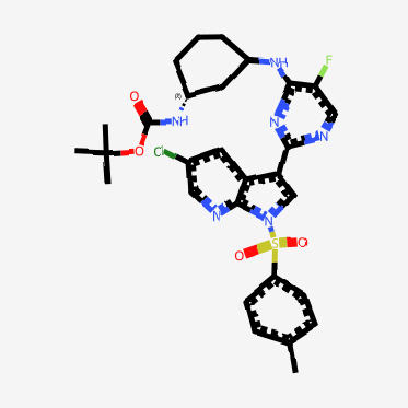 Cc1ccc(S(=O)(=O)n2cc(-c3ncc(F)c(NC4CCC[C@@H](NC(=O)OC(C)(C)C)C4)n3)c3cc(Cl)cnc32)cc1